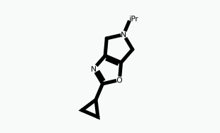 CC(C)N1Cc2nc(C3CC3)oc2C1